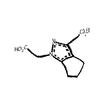 CCOC(=O)c1nn(CC(=O)O)c2c1CCC2